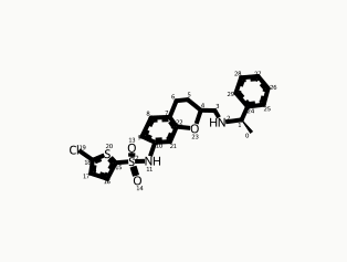 C[C@@H](NCC1CCc2ccc(NS(=O)(=O)c3ccc(Cl)s3)cc2O1)c1ccccc1